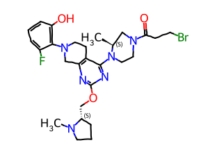 C[C@H]1CN(C(=O)CCBr)CCN1c1nc(OC[C@@H]2CCCN2C)nc2c1CCN(c1c(O)cccc1F)C2